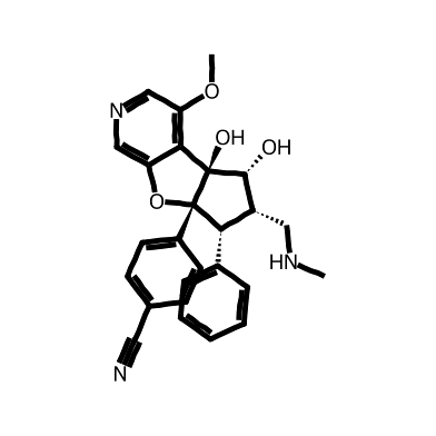 CNC[C@H]1[C@@H](O)[C@@]2(O)c3c(OC)cncc3O[C@@]2(c2ccc(C#N)cc2)[C@H]1c1ccccc1